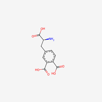 N[C@@H](Cc1ccc(C(=O)O)c(C(=O)O)c1)C(=O)O